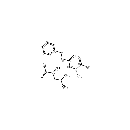 CC(C)C[C@H](N)C(=O)O.C[C@H](NC(=O)OCc1ccccc1)C(=O)O